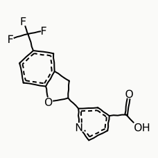 O=C(O)c1ccnc(C2Cc3cc(C(F)(F)F)ccc3O2)c1